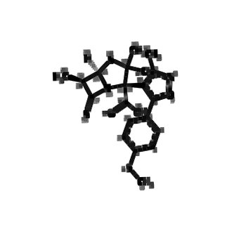 CSc1ccc(-c2onc(C)c2[C@@]2(C(=O)O)N3C(=S)[C@@H](C)[C@H]3SC2(C)C)cc1